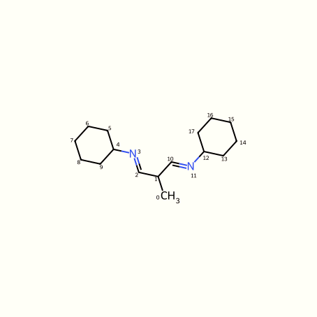 CC(/C=N/C1CCCCC1)/C=N/C1CCCCC1